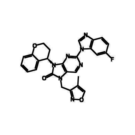 Cc1conc1Cn1c(=O)n([C@@H]2CCOc3ccccc32)c2nc(-n3cnc4ccc(F)cc43)ncc21